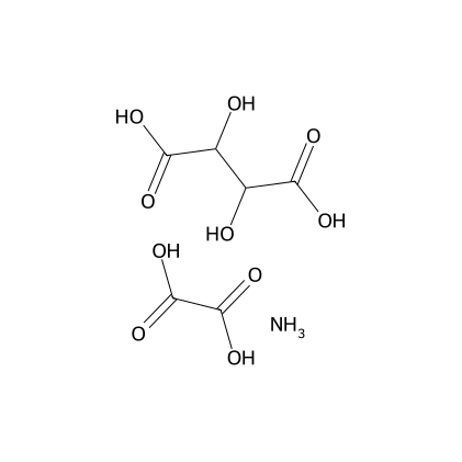 N.O=C(O)C(=O)O.O=C(O)C(O)C(O)C(=O)O